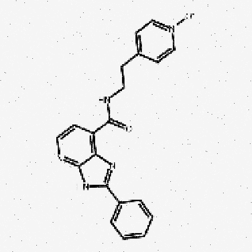 O=C(NCCc1cc[n+]([O-])cc1)c1ccnc2[nH]c(-c3ccccc3)nc12